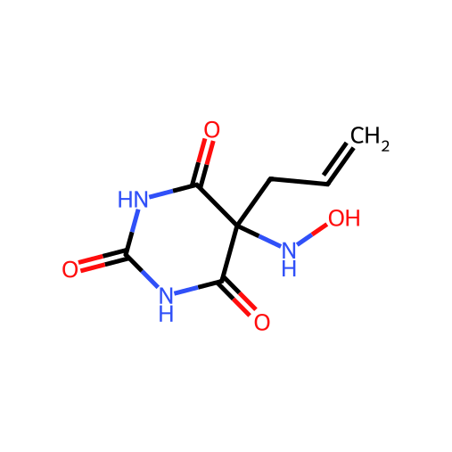 C=CCC1(NO)C(=O)NC(=O)NC1=O